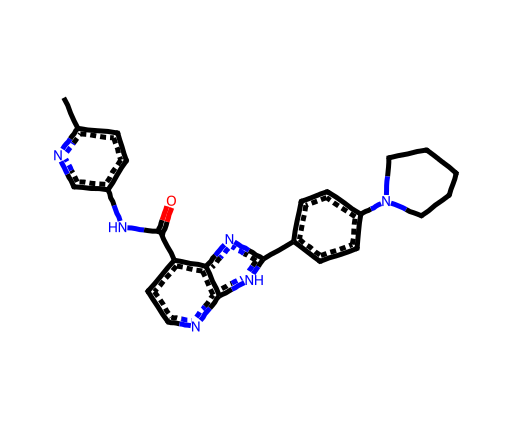 Cc1ccc(NC(=O)c2ccnc3[nH]c(-c4ccc(N5CCCCC5)cc4)nc23)cn1